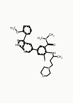 COc1ccccc1-c1n[nH]c2ncc(-c3cc(F)c(NC(C)CCN4CCOCC4)c(C(=O)N(C)C)c3)cc12